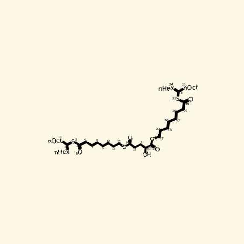 CCCCCCCCC(CCCCCC)SC(=O)CCCCCCCOC(=O)CCC(O)C(=O)OCCCCCCCC(=O)SC(CCCCCC)CCCCCCCC